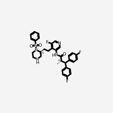 C[C@H](C(=O)Nc1cncc(F)c1CC[C@H]1CNCCN1S(=O)(=O)c1ccccc1)C(c1ccc(F)cc1)c1ccc(F)cc1